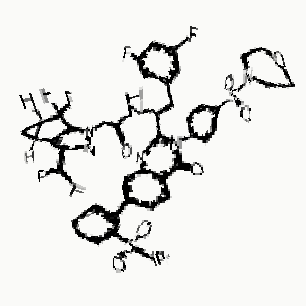 CC(C)S(=O)(=O)c1ccccc1-c1ccc2c(=O)n(-c3ccc(S(=O)(=O)N4CCOCC4)cc3)c(C(Cc3cc(F)cc(F)c3)NC(=O)Cn3nc(C(F)F)c4c3C(F)(F)[C@H]3C[C@@H]43)nc2c1